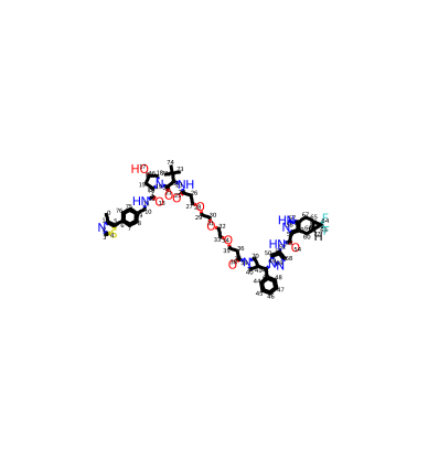 Cc1ncsc1-c1ccc(CNC(=O)[C@@H]2C[C@@H](O)CN2C(=O)C(NC(=O)CCOCCOCCOCCC(=O)N2CC(C(c3ccccc3)n3cc(NC(=O)c4n[nH]c5c4C[C@@H]4C(F)(F)[C@]4(C)C5)cn3)C2)C(C)(C)C)cc1